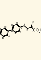 O=C(O)C(I)CCc1ccc(-c2ccccc2)cc1